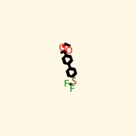 CC1(c2ccc(-c3ccc(SC(F)F)cc3)cc2)OCCO1